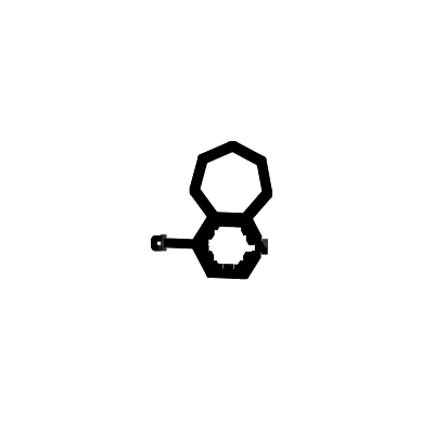 Clc1ccnc2c1CCCCC2